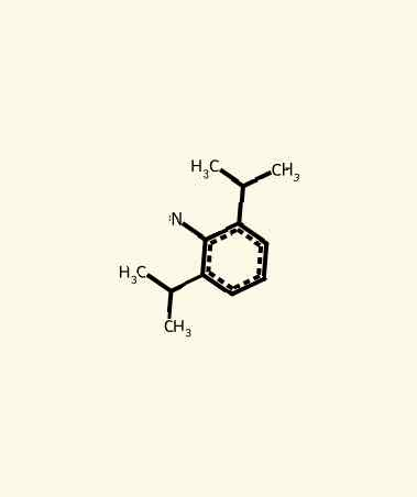 CC(C)c1cccc(C(C)C)c1[N]